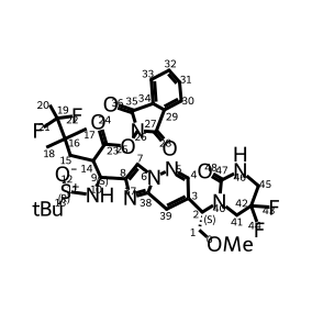 COC[C@H](c1cnn2cc([C@@H](N[S@@+]([O-])C(C)(C)C)C(CC(C)(C)C(C)(F)F)C(=O)ON3C(=O)c4ccccc4C3=O)nc2c1)N1CC(F)(F)CNC1=O